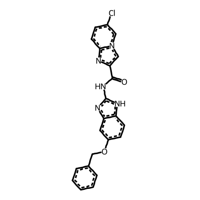 O=C(Nc1nc2cc(OCc3ccccc3)ccc2[nH]1)c1cn2cc(Cl)ccc2n1